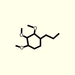 CC[CH]C1CCC(OC)C(OC)C1OC